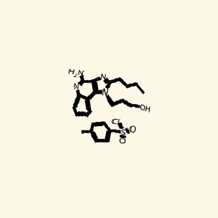 CCCCc1nc2c(N)nc3ccccc3c2n1CCCO.Cc1ccc(S(=O)(=O)Cl)cc1